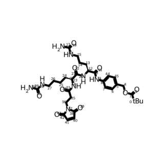 CC(C)(C)C(=O)OCc1ccc(NC(=O)[C@H](CCCNC(N)=O)NC(=O)[C@H](CCCCNC(N)=O)NC(=O)CCN2C(=O)C=CC2=O)cc1